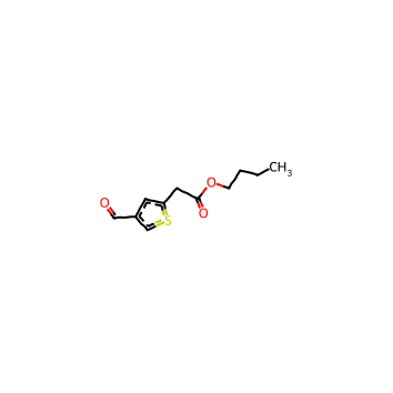 CCCCOC(=O)Cc1cc(C=O)cs1